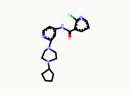 O=C(Nc1ccnc(N2CCN(C3CCCC3)CC2)c1)c1cccnc1Cl